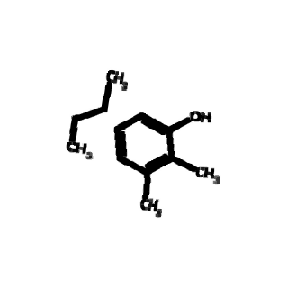 CCCC.Cc1cccc(O)c1C